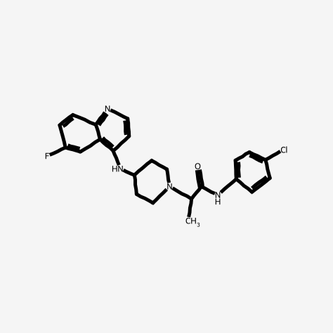 CC(C(=O)Nc1ccc(Cl)cc1)N1CCC(Nc2ccnc3ccc(F)cc23)CC1